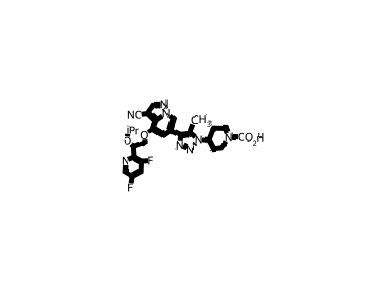 Cc1c(-c2cc(OCC(OC(C)C)c3ncc(F)cc3F)c3c(C#N)cnn3c2)nnn1C1CCN(C(=O)O)CC1